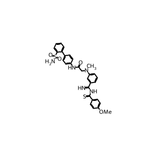 COc1ccc(C(=S)NC(=N)c2cccc(N(C)CC(=O)Nc3ccc(-c4ccccc4S(N)(=O)=O)cc3)c2)cc1